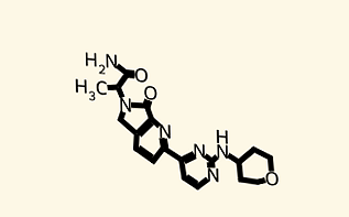 CC(C(N)=O)N1Cc2ccc(-c3ccnc(NC4CCOCC4)n3)nc2C1=O